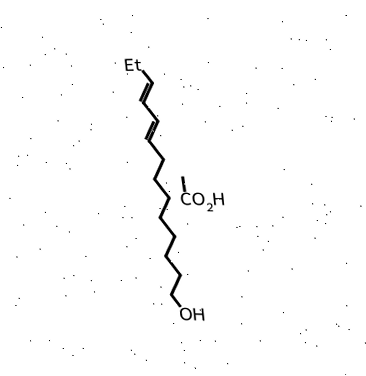 CC(=O)O.CC/C=C/C=C/CCCCCCCCO